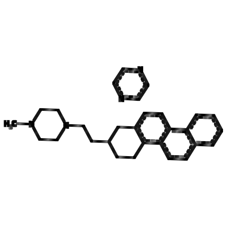 CN1CCN(CCC2CCc3c(ccc4c3ccc3ccccc34)C2)CC1.c1cnccn1